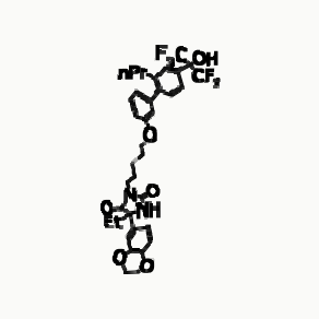 CCCc1cc(C(O)(C(F)(F)F)C(F)(F)F)ccc1-c1cccc(OCCCCCN2C(=O)NC(CC)(c3ccc4c(c3)OCCO4)C2=O)c1